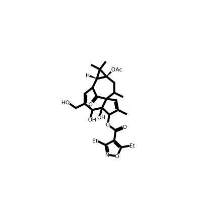 CCc1noc(CC)c1C(=O)OC1C(C)=CC23C(=O)C(C=C(CO)C(O)C12O)[C@@H]1C(C)(C)[C@]1(OC(C)=O)CC3C